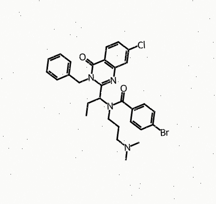 CCC(c1nc2cc(Cl)ccc2c(=O)n1Cc1ccccc1)N(CCCN(C)C)C(=O)c1ccc(Br)cc1